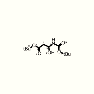 CC(C)(C)OC(=O)CC(O)NC(=O)OC(C)(C)C